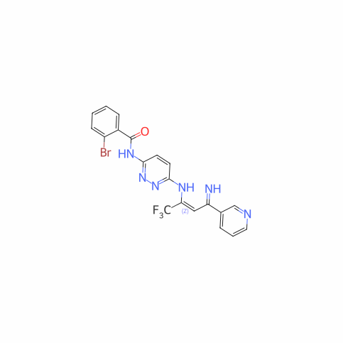 N=C(/C=C(\Nc1ccc(NC(=O)c2ccccc2Br)nn1)C(F)(F)F)c1cccnc1